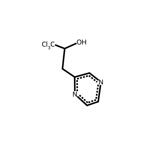 OC(Cc1cnccn1)C(Cl)(Cl)Cl